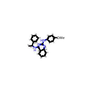 COc1ccc(Nc2nc(NC(C)c3ccccc3)c3ccccc3n2)cc1